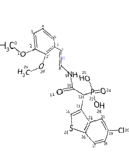 COc1cccc(/C=C/NC(=O)C(c2csc3ccc(Cl)cc23)P(=O)(O)O)c1OC